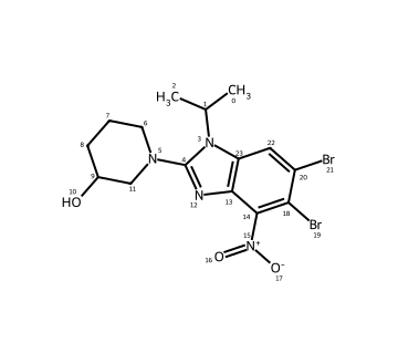 CC(C)n1c(N2CCCC(O)C2)nc2c([N+](=O)[O-])c(Br)c(Br)cc21